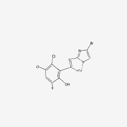 Oc1c(F)cc(Cl)c(Cl)c1-c1ccn2cc(Br)nc2c1